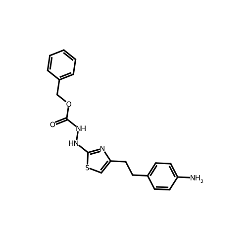 Nc1ccc(CCc2csc(NNC(=O)OCc3ccccc3)n2)cc1